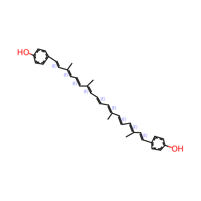 CC(/C=C/C=C(C)/C=C/c1ccc(O)cc1)=C\C=C\C=C(C)\C=C\C=C(C)\C=C\c1ccc(O)cc1